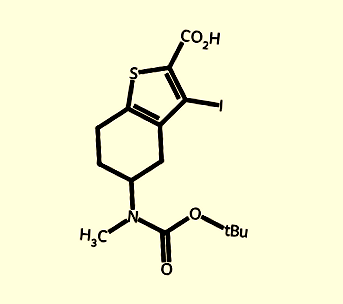 CN(C(=O)OC(C)(C)C)C1CCc2sc(C(=O)O)c(I)c2C1